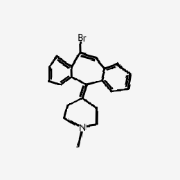 CN1CCC(=C2c3ccccc3C=C(Br)c3ccccc32)CC1